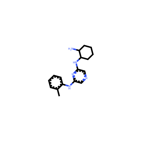 Cc1ccccc1Nc1cncc(NC2CCCCC2N)n1